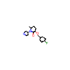 Cc1ccc(OCc2ccc(F)cc2)c(=O)n1-c1ccncc1